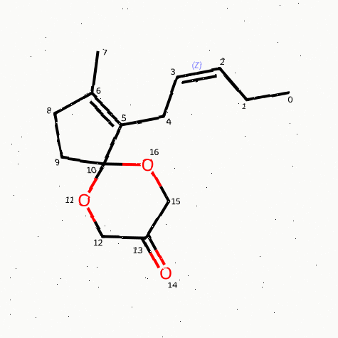 CC/C=C\CC1=C(C)CCC12OCC(=O)CO2